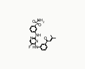 CC(C)=CC(=O)c1cccc(Nc2nc(Nc3cccc(S(N)(=O)=O)c3)ncc2F)c1